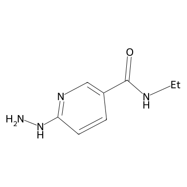 [CH2]CNC(=O)c1ccc(NN)nc1